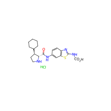 Cl.O=C(O)Nc1nc2ccc(NC(=O)[C@@H]3NCC[C@H]3C3CCCCC3)cc2s1